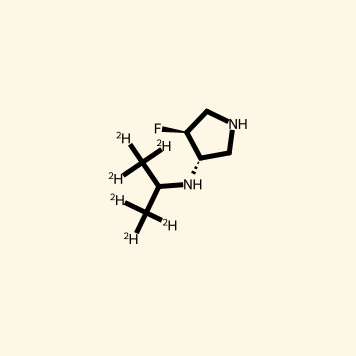 [2H]C([2H])([2H])C(N[C@H]1CNC[C@@H]1F)C([2H])([2H])[2H]